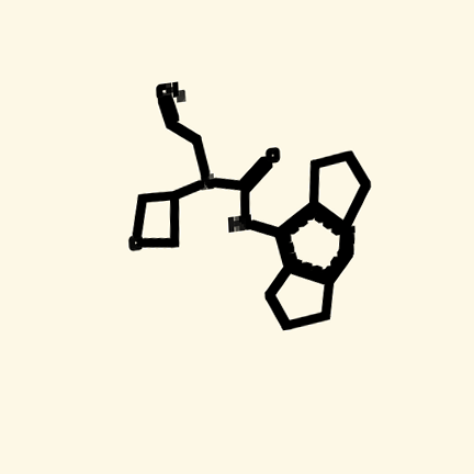 C=CCN(C(=O)Nc1c2c(cc3c1CCC3)CCC2)C1COC1